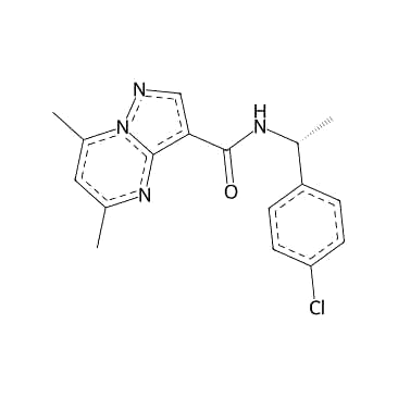 Cc1cc(C)n2ncc(C(=O)N[C@H](C)c3ccc(Cl)cc3)c2n1